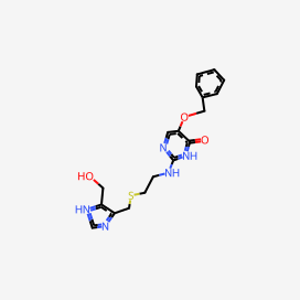 O=c1[nH]c(NCCSCc2nc[nH]c2CO)ncc1OCc1ccccc1